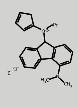 C[CH](C)[Zr+2]([C]1=CC=CC1)[CH]1c2ccccc2-c2c1cccc2N(C)C.[Cl-].[Cl-]